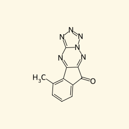 Cc1cccc2c1-c1nc3nnnn3nc1C2=O